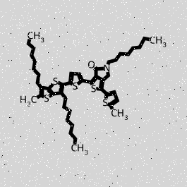 CCCCCCCCc1c(C)sc2c(CCCCCCCC)c(-c3ccc(-c4sc(-c5ccc(C)s5)c5c4C(=O)N(CCCCCCCC)C5)s3)sc12